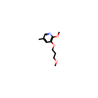 COCCCOc1cc(C)cnc1OC